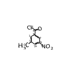 Cc1cc(C(=O)Cl)cc([N+](=O)[O-])c1